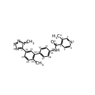 Cc1cnccc1C(=O)Nc1ccc(-c2cc(-c3nnnn3C)ccc2C)cc1